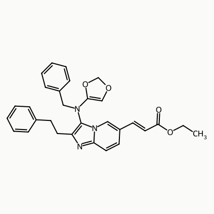 CCOC(=O)C=Cc1ccc2nc(CCc3ccccc3)c(N(Cc3ccccc3)C3=COCO3)n2c1